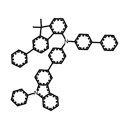 CC1(C)c2cc(-c3ccccc3)ccc2-c2c(N(c3ccc(-c4ccccc4)cc3)c3ccc(-c4ccc5c(c4)c4ccccc4n5-c4ccccc4)cc3)cccc21